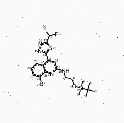 CC(C)(C)[Si](C)(C)OCCNc1cc(-c2nnc(C(F)F)s2)c2cccc(Br)c2n1